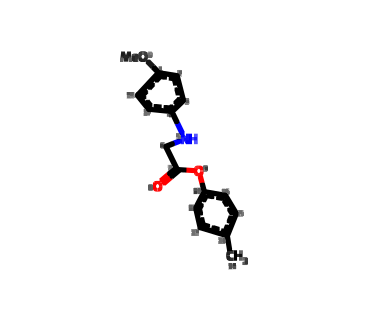 COc1ccc(NCC(=O)Oc2ccc(C)cc2)cc1